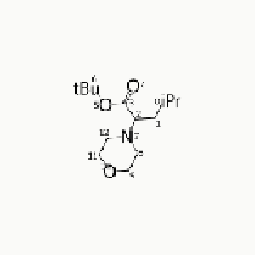 CC(C)CC(C(=O)OC(C)(C)C)N1CCOCC1